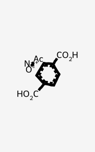 CC(=O)[O-].O=C(O)c1ccc(C(=O)O)cc1.[Na+]